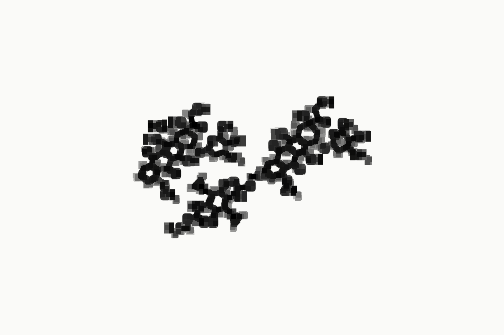 CCOC(=O)NC1=C(N2CC2)C(=O)C(NC(=O)OCC)=C(N2CC2)C1=O.COc1cccc2c1C(=O)c1c(O)c3c(c(O)c1C2=O)C[C@@](O)(C(=O)CO)C[C@@H]3OC1CC(N)C(O)C(C)O1.COc1cccc2c1C(=O)c1c(O)c3c(c(O)c1C2=O)C[C@@](O)(C(=O)CO)C[C@@H]3O[C@H]1C[C@H](N)[C@H](O)[C@H](C)O1.Cl